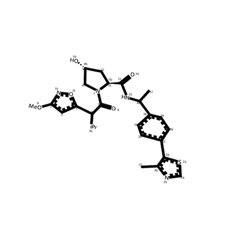 COc1cc(C(C(=O)N2C[C@H](O)C[C@H]2C(=O)NC(C)c2ccc(-c3scnc3C)cc2)C(C)C)on1